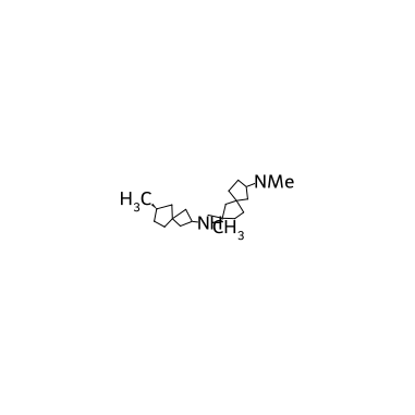 CNC1CCC2(CC[C@](C)(CNC3CC4(CC[C@@H](C)C4)C3)C2)C1